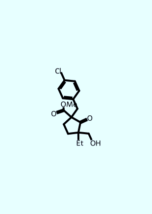 CCC1(CO)CCC(Cc2ccc(Cl)cc2)(C(=O)OC)C1=O